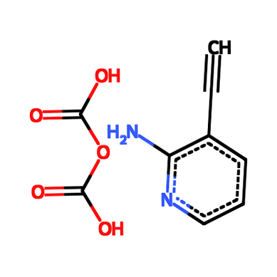 C#Cc1cccnc1N.O=C(O)OC(=O)O